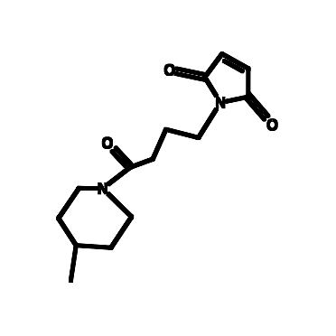 CC1CCN(C(=O)CCCN2C(=O)C=CC2=O)CC1